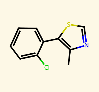 Cc1ncsc1-c1ccccc1Cl